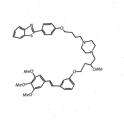 COc1cc(C=Cc2cccc(OCCC(CN3CCN(CCCCOc4ccc(-c5nc6ccccc6s5)cc4)CC3)OC)c2)cc(OC)c1OC